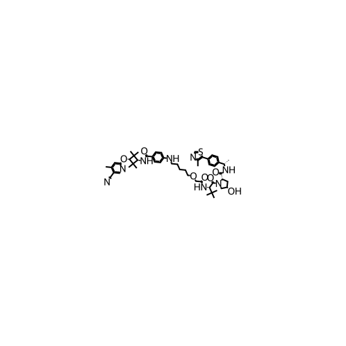 Cc1cc(O[C@H]2C(C)(C)[C@H](NC(=O)c3ccc(NCCCCCOCC(=O)N[C@H](C(=O)N4C[C@H](O)C[C@H]4C(=O)N[C@@H](C)c4ccc(-c5scnc5C)cc4)C(C)(C)C)cc3)C2(C)C)ncc1C#N